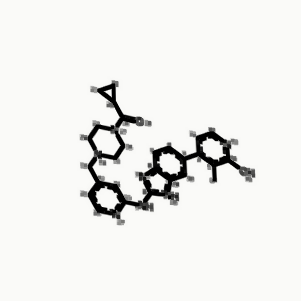 Cc1c(-c2ccc3nc(Nc4cc(CN5CCN(C(=O)C6CC6)CC5)ccn4)[nH]c3c2)ccnc1O